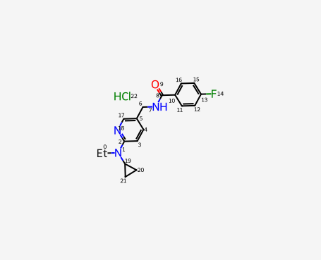 CCN(c1ccc(CNC(=O)c2ccc(F)cc2)cn1)C1CC1.Cl